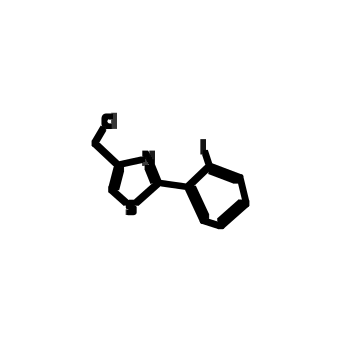 ClCc1csc(-c2ccccc2I)n1